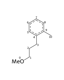 [CH2]OCCCc1ccccc1C